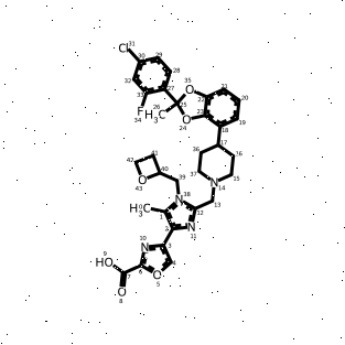 Cc1c(-c2coc(C(=O)O)n2)nc(CN2CCC(c3cccc4c3OC(C)(c3ccc(Cl)cc3F)O4)CC2)n1CC1CCO1